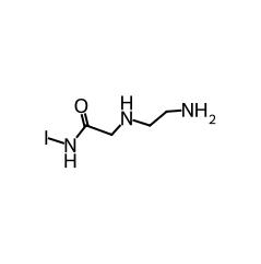 NCCNCC(=O)NI